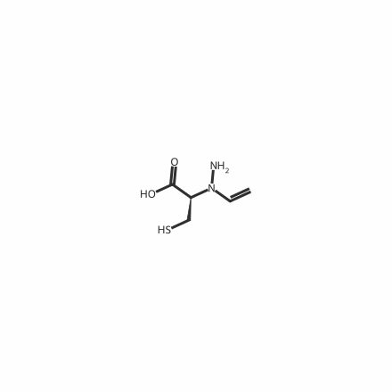 C=CN(N)[C@@H](CS)C(=O)O